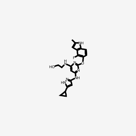 Cc1cc2c(F)c(Oc3nc(NCCO)cc(Nc4cc(C5CC5)[nH]n4)n3)ccc2[nH]1